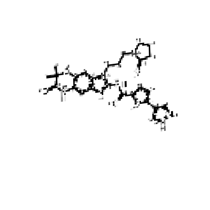 CC1(C)Oc2cc3c(cc2NC1=O)nc(NC(=O)c1ccc(-c2cn[nH]c2)s1)n3CCCN1CCCC1=O